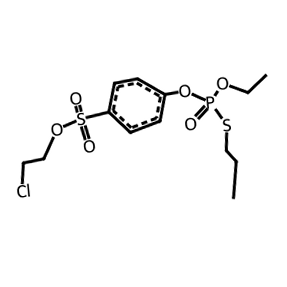 CCCSP(=O)(OCC)Oc1ccc(S(=O)(=O)OCCCl)cc1